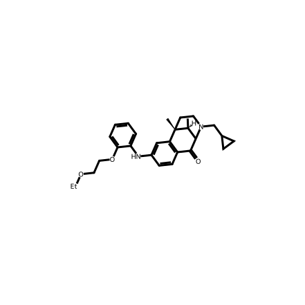 CCOCCOc1ccccc1Nc1ccc2c(c1)[C@]1(C)CCN(CC3CC3)C(C2=O)[C@@H]1C